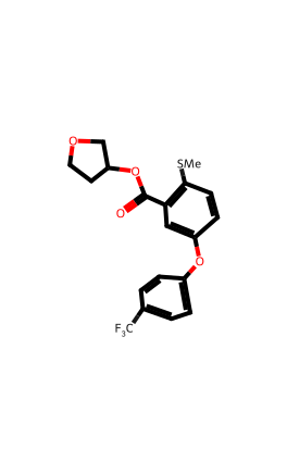 CSc1ccc(Oc2ccc(C(F)(F)F)cc2)cc1C(=O)OC1CCOC1